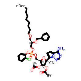 CCCCCCCCCCCCCCCCCCOC[C@H](COP(=O)(OC[C@H]1O[C@@](C#N)(c2ccc3c(N)ncnn23)[C@H](OC(=O)C(C)C)[C@@H]1OC(=O)C(C)C)Oc1ccccc1Cl)OCc1ccccc1